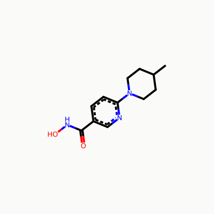 CC1CCN(c2ccc(C(=O)NO)cn2)CC1